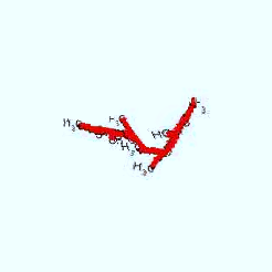 CCCCCCCCCC(=O)OCCCCCCCN(CCO)CCCCCCCSC(=O)C(CCCCCCCC)CCCCCCCCC(CC)CCCCCC(CCCCCCCC)C(=O)OCCCCCCN(CCO)CCCCCCSC(=O)CCCCCCCCC